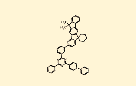 CC1(C)c2ccccc2-c2cc3c(cc21)-c1cc(-c2cccc(-c4nc(-c5ccccc5)nc(-c5ccc(-c6ccccc6)cc5)n4)c2)ccc1C31CCCCC1